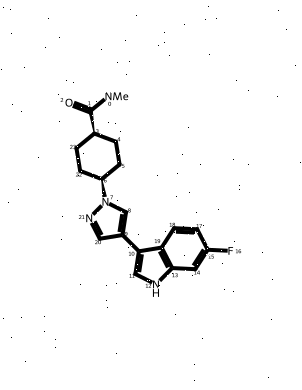 CNC(=O)[C@H]1CC[C@@H](n2cc(-c3c[nH]c4cc(F)ccc34)cn2)CC1